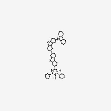 C1=CC2c3ccccc3N(c3ccc4sc5ccc(-c6ccc7c(c6)sc6cc(C8N=C(c9ccccc9)NC(c9ccccc9)N8)ccc67)cc5c4c3)C2C=C1